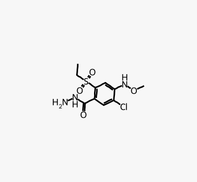 CCS(=O)(=O)c1cc(NOC)c(Cl)cc1C(=O)NN